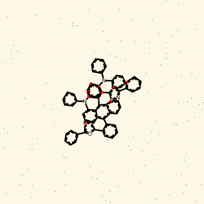 c1ccc(-c2nnc(-c3ccccc3-c3c4ccccc4c(-c4ccccc4-c4nnc(-c5ccccc5)o4)c4c(N(c5ccccc5)c5ccc(N(c6ccccc6)c6ccccc6)cc5)cccc34)o2)cc1